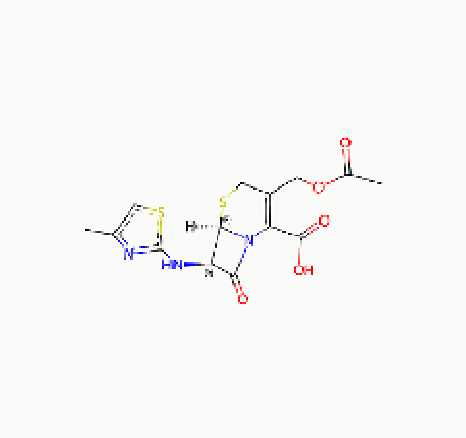 CC(=O)OCC1=C(C(=O)O)N2C(=O)[C@@H](Nc3nc(C)cs3)[C@H]2SC1